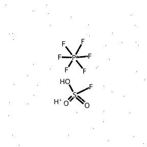 F[P-](F)(F)(F)(F)F.O=S(=O)(O)F.[H+]